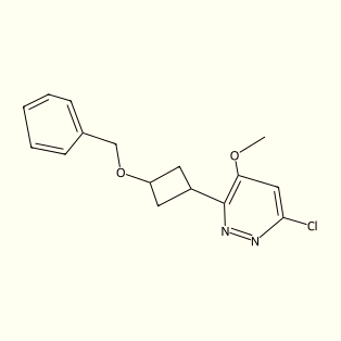 COc1cc(Cl)nnc1C1CC(OCc2ccccc2)C1